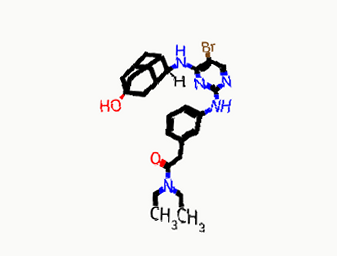 CCN(CC)C(=O)Cc1cccc(Nc2ncc(Br)c(N[C@H]3C4CC5CC3C[C@@](O)(C5)C4)n2)c1